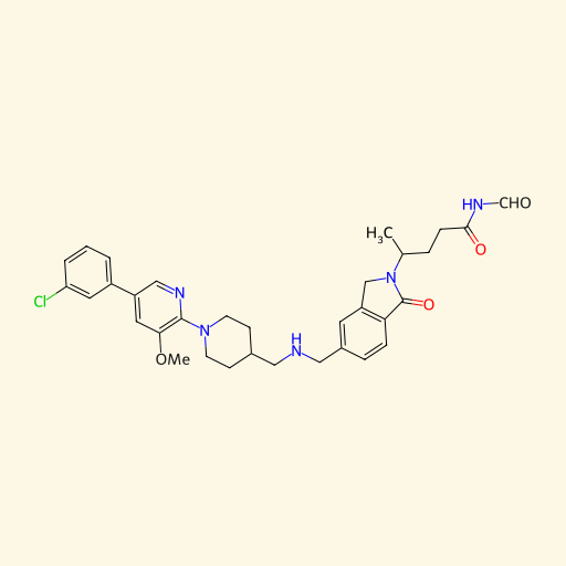 COc1cc(-c2cccc(Cl)c2)cnc1N1CCC(CNCc2ccc3c(c2)CN(C(C)CCC(=O)NC=O)C3=O)CC1